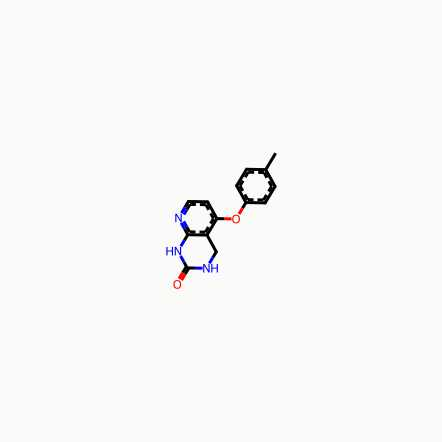 Cc1ccc(Oc2ccnc3c2CNC(=O)N3)cc1